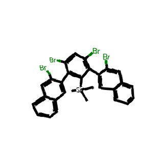 C[Si](C)(C)c1c(-c2cc3ccccc3cc2Br)c(Br)cc(Br)c1-c1cc2ccccc2cc1Br